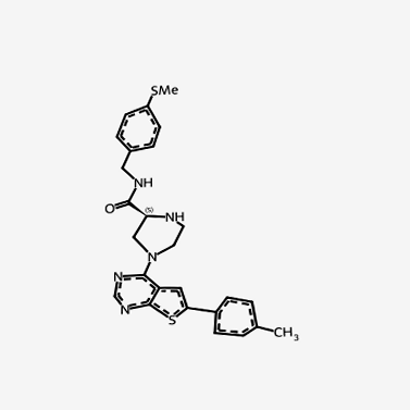 CSc1ccc(CNC(=O)[C@@H]2CN(c3ncnc4sc(-c5ccc(C)cc5)cc34)CCN2)cc1